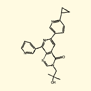 CC(C)(O)Cn1cnc2c(-c3cccnc3)nc(-c3ccc(C4CC4)nc3)cc2c1=O